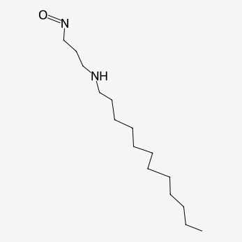 CCCCCCCCCCCCNCCCN=O